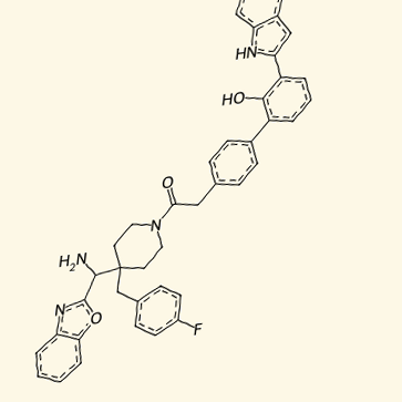 NC(c1nc2ccccc2o1)C1(Cc2ccc(F)cc2)CCN(C(=O)Cc2ccc(-c3cccc(-c4cc5ccncc5[nH]4)c3O)cc2)CC1